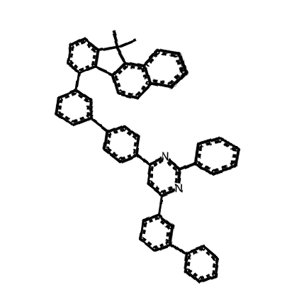 CC1(C)c2cccc(-c3cccc(-c4ccc(-c5cc(-c6cccc(-c7ccccc7)c6)nc(-c6ccccc6)n5)cc4)c3)c2-c2ccc3ccccc3c21